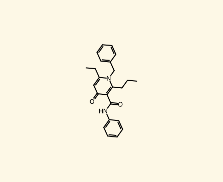 CCCc1c(C(=O)Nc2ccccc2)c(=O)cc(CC)n1Cc1ccccc1